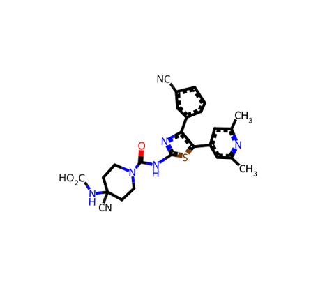 Cc1cc(-c2sc(NC(=O)N3CCC(C#N)(NC(=O)O)CC3)nc2-c2cccc(C#N)c2)cc(C)n1